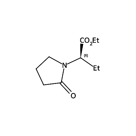 CCOC(=O)[C@@H](CC)N1CCCC1=O